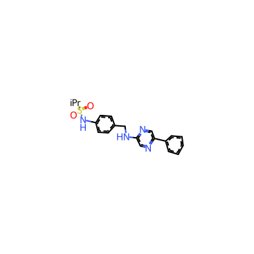 CC(C)S(=O)(=O)Nc1ccc(CNc2cnc(-c3ccccc3)cn2)cc1